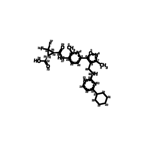 Cc1nc(-c2onc(C)c2CNc2nccc(C3CCCCC3)n2)ccc1NC(=O)[C@H]1[C@H](C(=O)O)C1(F)F